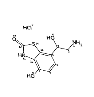 Cl.NCC(O)c1ccc(O)c2[nH]c(=O)sc12